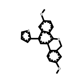 COc1ccc2c(c1)COc1c-2cc(-c2cccs2)c2cc(OC)ccc12